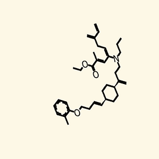 C=CC(=C)C/C=C(\C=C(/C)C(=O)OCC)N(CCC)CCC(=C)[C@H]1CC[C@@H](/C=C/CCOc2ccccc2C)CC1